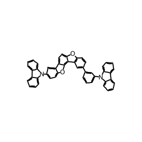 c1cc(-c2ccc3oc4ccc5c6cc(-n7c8ccccc8c8ccccc87)ccc6oc5c4c3c2)cc(-n2c3ccccc3c3ccccc32)c1